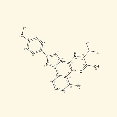 COc1ccc(-c2nc3c4cccc(Br)c4nc(N[C@@H](C(=O)O)C(C)C)n3n2)cc1